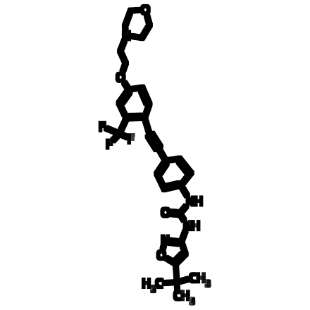 CC(C)(C)c1cc(NC(=O)Nc2ccc(C#Cc3ccc(OCCN4CCOCC4)cc3C(F)(F)F)cc2)no1